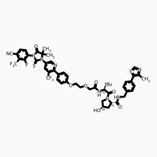 Cc1ncsc1-c1ccc(CNC(=O)[C@@H]2C[C@@H](O)CN2C(=O)[C@@H](NC(=O)COCCOc2ccc(-c3ncc(N4C(=S)N(c5ccc(C#N)c(C(F)(F)F)c5F)C(=O)C4(C)C)cc3C(F)(F)F)cc2)C(C)(C)C)cc1